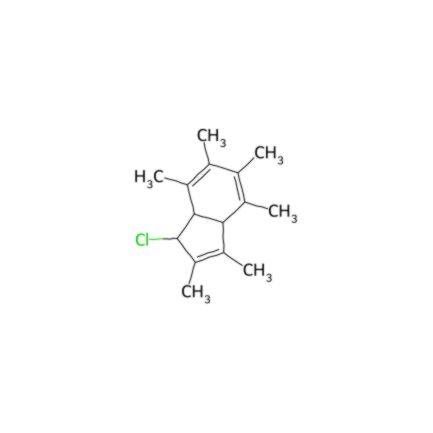 CC1=C(C)C2C(C)=C(C)C(Cl)C2C(C)=C1C